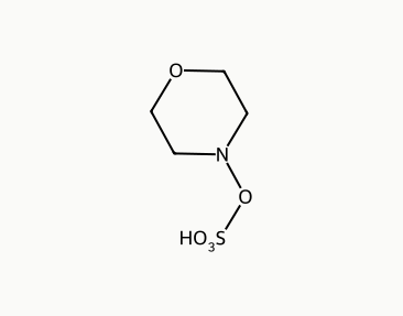 O=S(=O)(O)ON1CCOCC1